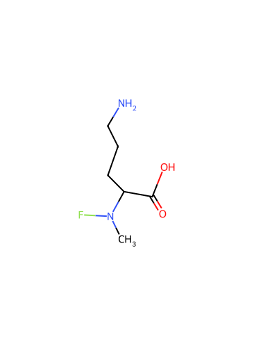 CN(F)C(CCCN)C(=O)O